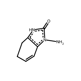 Nn1c2c([nH]c1=O)CCC=C2